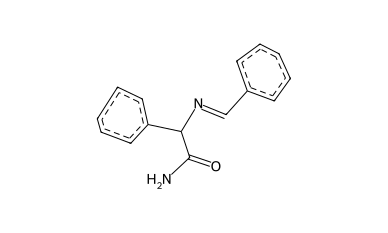 NC(=O)C(N=Cc1ccccc1)c1ccccc1